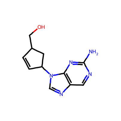 Nc1ncc2ncn(C3C=CC(CO)C3)c2n1